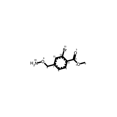 COC(=O)c1ccc(CON)cc1Br